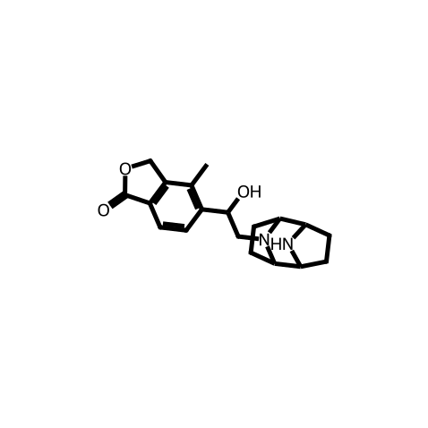 Cc1c(C(O)CN2C3CCC2C2CCC3N2)ccc2c1COC2=O